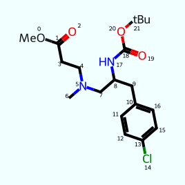 COC(=O)CCN(C)CC(Cc1ccc(Cl)cc1)NC(=O)OC(C)(C)C